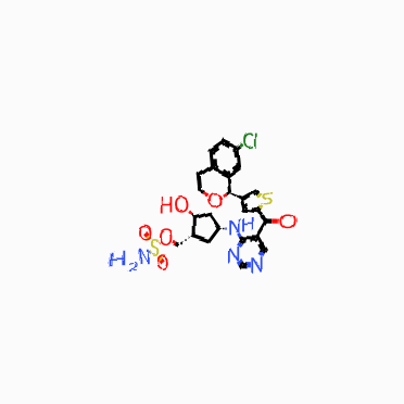 NS(=O)(=O)OC[C@H]1C[C@@H](Nc2ncncc2C(=O)c2cc([C@H]3OCCc4ccc(Cl)cc43)cs2)C[C@@H]1O